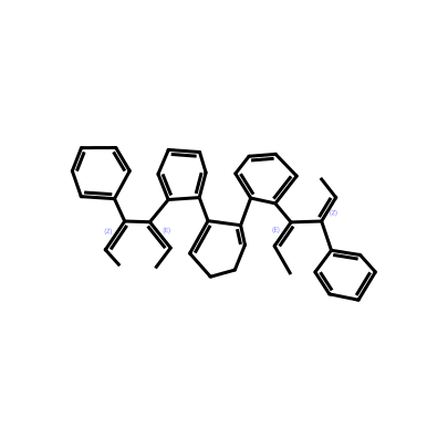 C/C=C(\C(=C/C)c1ccccc1C1=CCCC=C1c1ccccc1C(=C/C)/C(=C\C)c1ccccc1)c1ccccc1